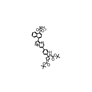 CC(C)(C)OC(=O)NC1(c2ccc(-c3cnc4c(-c5ccc(S(N)(=O)=O)c6ccccc56)cnn4c3)cc2)CN(C(=O)OC(C)(C)C)C1